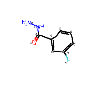 NNC(=O)c1[c]ccc(F)c1